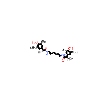 CCCC(C(=O)NCCCCCCNC(=O)C(CCC)c1cc(C(C)(C)C)c(O)c(C(C)(C)C)c1)c1cc(C(C)(C)C)c(O)c(C(C)(C)C)c1